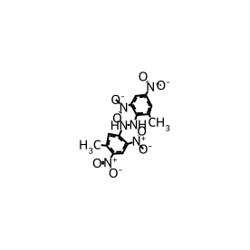 Cc1cc(NNc2c(C)cc([N+](=O)[O-])cc2[N+](=O)[O-])c([N+](=O)[O-])cc1[N+](=O)[O-]